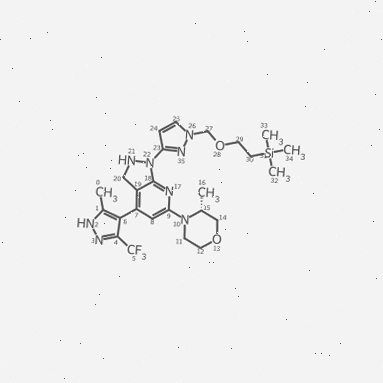 Cc1[nH]nc(C(F)(F)F)c1-c1cc(N2CCOC[C@H]2C)nc2c1CNN2c1ccn(COCC[Si](C)(C)C)n1